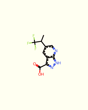 CC(c1cnc2[nH]nc(C(=O)O)c2c1)C(F)(F)F